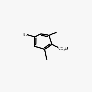 CCOC(=O)c1c(C)cc(CC)cc1C